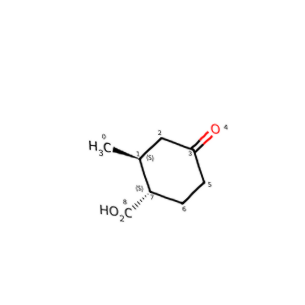 C[C@H]1CC(=O)CC[C@@H]1C(=O)O